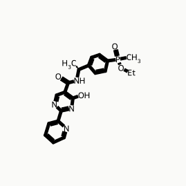 CCOP(C)(=O)c1ccc([C@@H](C)NC(=O)c2cnc(-c3ccccn3)nc2O)cc1